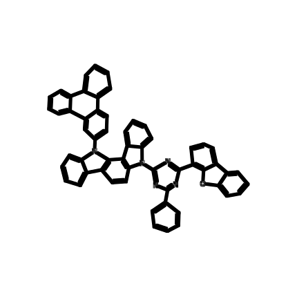 c1ccc(-c2nc(-c3cccc4c3oc3ccccc34)nc(-n3c4ccccc4c4c3ccc3c5ccccc5n(-c5ccc6c7ccccc7c7ccccc7c6c5)c34)n2)cc1